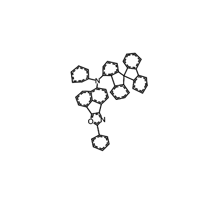 c1ccc(-c2nc3c(o2)-c2cccc4c(N(c5ccccc5)c5cccc6c5-c5ccccc5C65c6ccccc6-c6ccccc65)ccc-3c24)cc1